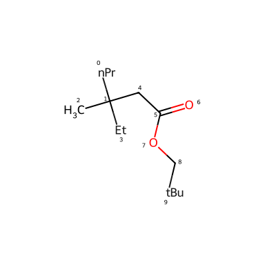 CCCC(C)(CC)CC(=O)OCC(C)(C)C